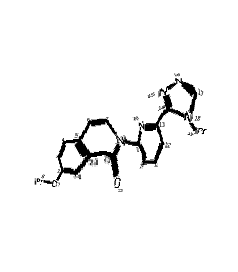 CC(C)Oc1ccc2ccn(-c3cccc(-c4nncn4C(C)C)n3)c(=O)c2c1